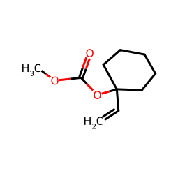 C=CC1(OC(=O)OC)CCCCC1